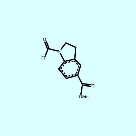 COC(=O)c1ccc2c(c1)CCN2C(=O)Cl